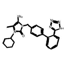 CCCCc1c(C)n(C2CCCCC2)c(=O)n1Cc1ccc(-c2ccccc2-c2nnn[nH]2)cc1